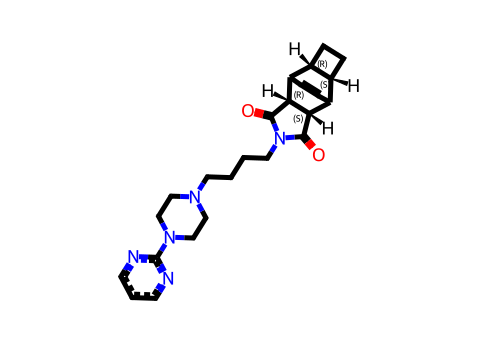 O=C1[C@@H]2C3C=CC([C@H]4CC[C@@H]34)[C@@H]2C(=O)N1CCCCN1CCN(c2ncccn2)CC1